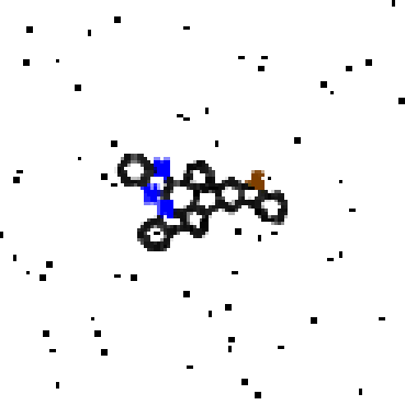 c1ccc2c(c1)-c1nc3ccccc3nc1-n1c3ccccc3c3ccc(-c4ccc5sc6ccccc6c5c4)c-2c31